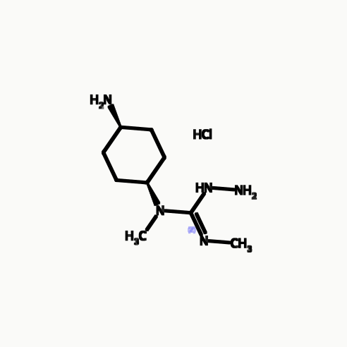 C/N=C(\NN)N(C)[C@H]1CC[C@@H](N)CC1.Cl